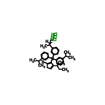 CCC(C)C1=CC[C]([Ti])=C1[Si](c1cccc(C(C)C)c1)(c1cccc(C(C)C)c1)c1cccc(C(C)C)c1.Cl.Cl.Cl